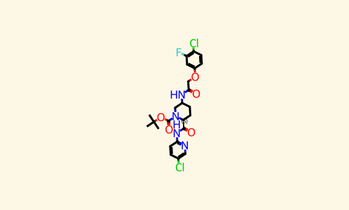 CC(C)(C)OC(=O)N1CC(NC(=O)COc2ccc(Cl)c(F)c2)CC[C@H]1C(=O)Nc1ccc(Cl)cn1